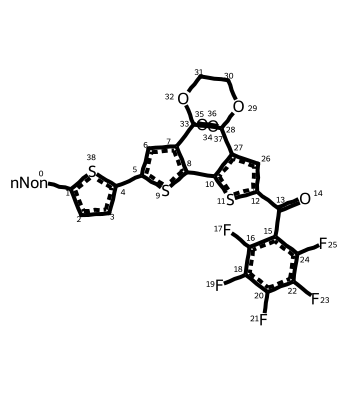 CCCCCCCCCc1ccc(-c2cc3c(s2)-c2sc(C(=O)c4c(F)c(F)c(F)c(F)c4F)cc2C24OCCOC32OCCO4)s1